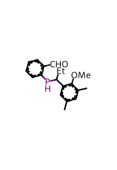 CCC(Pc1ccccc1C=O)c1cc(C)cc(C)c1OC